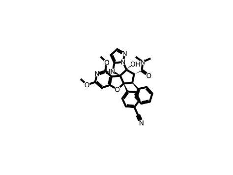 COc1cc2c(c(OC)n1)[C@]13Nc4ccnn4[C@@]1(O)[C@H](C(=O)N(C)C)[C@@H](c1ccccc1)[C@]3(c1ccc(C#N)cc1)O2